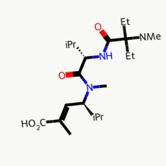 CCC(CC)(NC)C(=O)N[C@H](C(=O)N(C)[C@H](/C=C(\C)C(=O)O)C(C)C)C(C)C